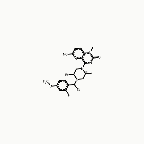 CCC1CN(c2nc(=O)n(C)c3ccc(C#N)nc23)[C@@H](C)CN1C(CC)c1ccc(OC(F)(F)F)cc1F